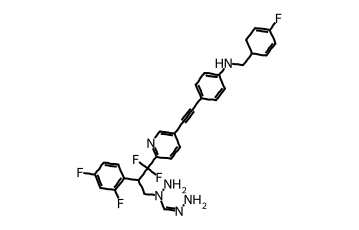 N/N=C\N(N)CC(c1ccc(F)cc1F)C(F)(F)c1ccc(C#Cc2ccc(NCC3C=CC(F)=CC3)cc2)cn1